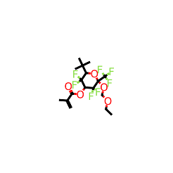 C=C(C)C(=O)OC1C(F)(F)C(C(C)(C)C)OC(OCOCC)(C(F)(F)F)C1(F)F